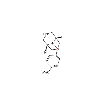 COc1ccc(CN2[C@@H]3CNC[C@H]2COC3)cn1